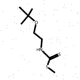 CSC(=S)NCCOC(C)(C)C